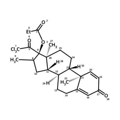 CCC(=O)O[C@]1(C(=O)C(Cl)(Cl)Cl)C(C)C[C@H]2[C@@H]3CCC4=CC(=O)C=C[C@]4(C)[C@H]3CC[C@@]21C